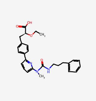 CCO[C@@H](Cc1ccc(-c2cccc(N(C)C(=O)NCCCc3ccccc3)n2)cc1)C(=O)O